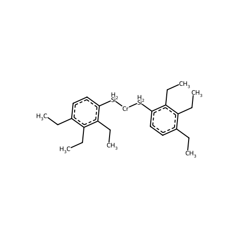 CCc1ccc([SiH2][Cr][SiH2]c2ccc(CC)c(CC)c2CC)c(CC)c1CC